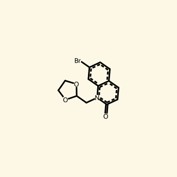 O=c1ccc2ccc(Br)cc2n1CC1OCCO1